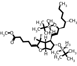 CCCC[C@H](C)C[C@@H](C=C[C@@H]1[C@@H]2[C@H](C[C@H]1O[Si](C)(C)C(C)(C)C)OC(=CCCCC(=O)OC)C2(F)F)O[Si](C)(C)C(C)(C)C